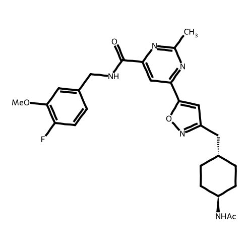 COc1cc(CNC(=O)c2cc(-c3cc(C[C@H]4CC[C@H](NC(C)=O)CC4)no3)nc(C)n2)ccc1F